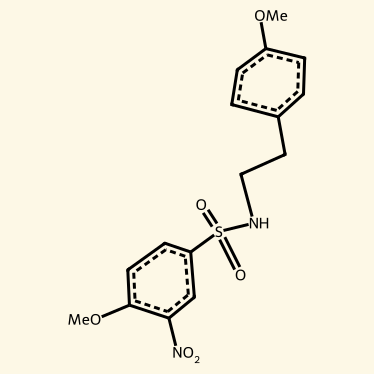 COc1ccc(CCNS(=O)(=O)c2ccc(OC)c([N+](=O)[O-])c2)cc1